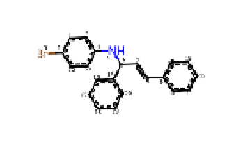 Brc1ccc(NC(C=Cc2ccccc2)c2ccccc2)cc1